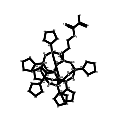 C=C(C)C(=O)OCCC[Si]12O[Si]3(C4CCCC4)O[Si]4(C5CCCC5)O[Si](C5CCCC5)(O1)O[Si]1(C5CCCC5)O[Si](C5CCCC5)(O2)O[Si](C2CCCC2)(O3)O[Si](C2CCCC2)(O4)O1